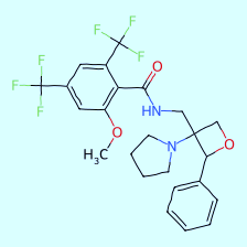 COc1cc(C(F)(F)F)cc(C(F)(F)F)c1C(=O)NCC1(N2CCCC2)COC1c1ccccc1